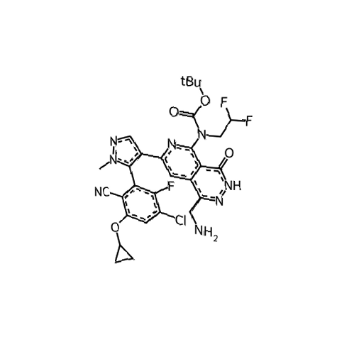 Cn1ncc(-c2cc3c(CN)n[nH]c(=O)c3c(N(CC(F)F)C(=O)OC(C)(C)C)n2)c1-c1c(F)c(Cl)cc(OC2CC2)c1C#N